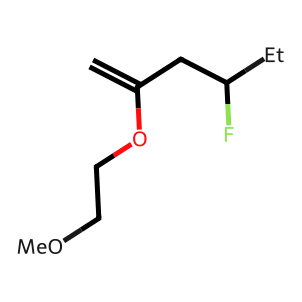 C=C(CC(F)CC)OCCOC